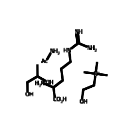 CC(N)=O.CC(O)CO.C[N+](C)(C)CCO.N=C(N)NCCCC(N)C(=O)O